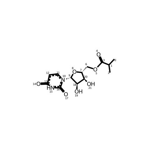 CC(C)C(=O)OC[C@H]1O[C@@H](n2ccc(=O)[nH]c2=O)[C@H](O)[C@@H]1O